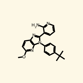 COc1ccc2nc(-c3cccnc3N)n(-c3ccc(C(C)(C)C)cc3)c2n1